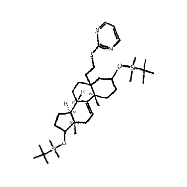 CC(C)(C)[Si](C)(C)OC1CC[C@]2(C)C3=CC[C@]4(C)C(O[Si](C)(C)C(C)(C)C)CC[C@H]4[C@@H]3CCC2(CCSc2ncccn2)C1